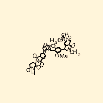 COc1cc(C2CN(C)C(=O)c3cnc(N(C)C)cc32)cc(OC)c1CN1CCC2CN(c3ccc4c(c3)C(=O)N(C3CCC(=O)NC3=O)C4=O)C21